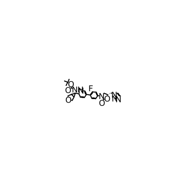 CC(C)(C)OC(=O)NC1(c2ccc(-c3ccc(N4C[C@H](Cn5ccnn5)OC4=O)cc3F)cn2)C2COCC21